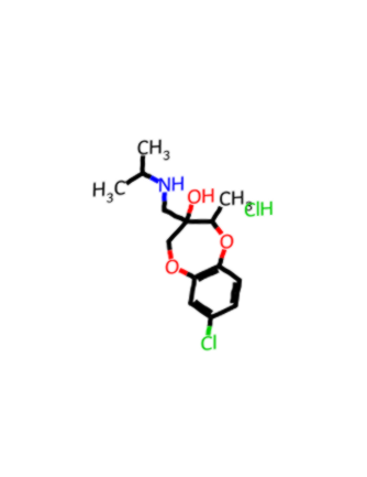 CC(C)NCC1(O)COc2cc(Cl)ccc2OC1C.Cl